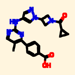 Cc1cnc(Nc2cnn(C3CN(C(=O)C4CC4)C3)c2)nc1-c1ccc(C(=O)O)cc1